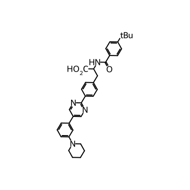 CC(C)(C)c1ccc(C(=O)NC(Cc2ccc(-c3ncc(-c4cccc(N5CCCCC5)c4)cn3)cc2)C(=O)O)cc1